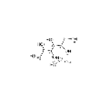 O=CC(O)C(O)C(O)C(O)CO.O=NO